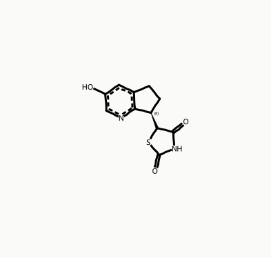 O=C1NC(=O)C([C@@H]2CCc3cc(O)cnc32)S1